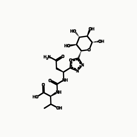 CC(O)[C@H](NC(=O)N[C@@H](CC(N)=O)c1nnc([C@H]2O[C@@H](O)[C@H](O)[C@@H](O)[C@@H]2O)o1)C(=O)O